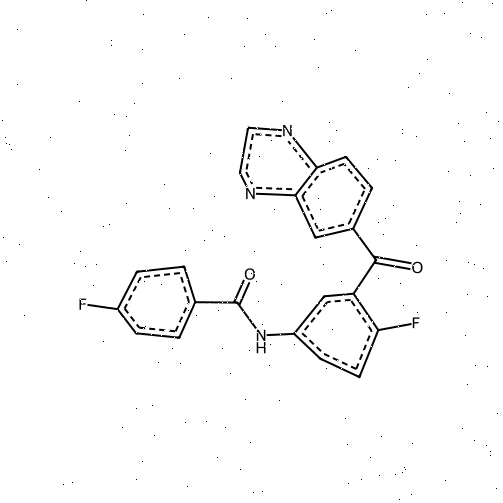 O=C(Nc1ccc(F)c(C(=O)c2ccc3nccnc3c2)c1)c1ccc(F)cc1